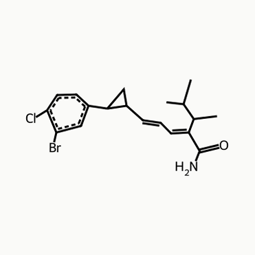 CC(C)C(C)/C(=C\C=C\C1CC1c1ccc(Cl)c(Br)c1)C(N)=O